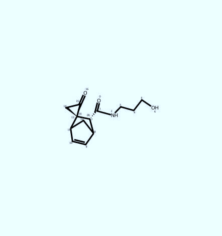 O=C(NCCCO)[C@@H]1C2C=CC(C2)[C@@]12CC2=O